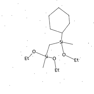 CCO[Si](C)(C[Si](C)(OCC)C1CCCCC1)OCC